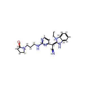 CCN1C(=C(C#N)c2ccnc(NCCCN3CCCC3=O)n2)Nc2ccccc21